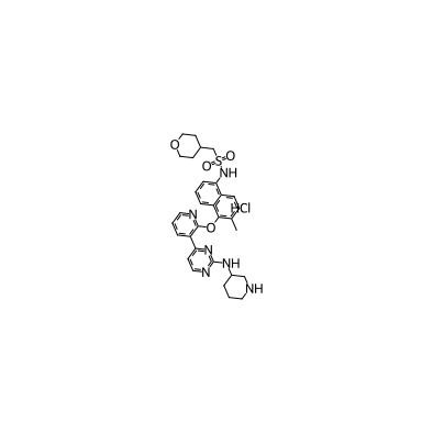 Cc1ccc2c(NS(=O)(=O)CC3CCOCC3)cccc2c1Oc1ncccc1-c1ccnc(NC2CCCNC2)n1.Cl